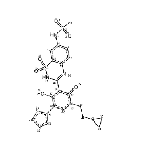 CS(=O)(=O)Nc1ccc2c(c1)S(=O)(=O)NC(c1c(O)c(-c3cncs3)nn(CCC3CC3)c1=O)=N2